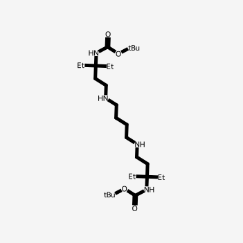 CCC(CC)(CCNCCCCNCCC(CC)(CC)NC(=O)OC(C)(C)C)NC(=O)OC(C)(C)C